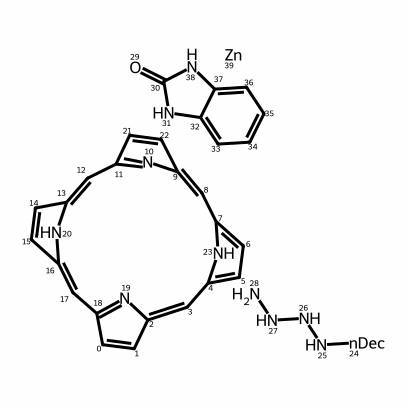 C1=Cc2cc3ccc(cc4nc(cc5ccc(cc1n2)[nH]5)C=C4)[nH]3.CCCCCCCCCCNNNN.O=c1[nH]c2ccccc2[nH]1.[Zn]